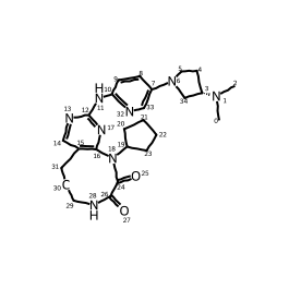 CN(C)[C@H]1CCN(c2ccc(Nc3ncc4c(n3)N(C3CCCC3)C(=O)C(=O)NCCC4)nc2)C1